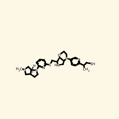 CC(CS)c1ccc(N2CCOC3C(CSc4cccc(N5CCC6CN(C)C[C@@H]65)n4)NCC32)cn1